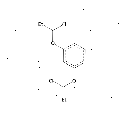 CCC(Cl)Oc1cccc(OC(Cl)CC)c1